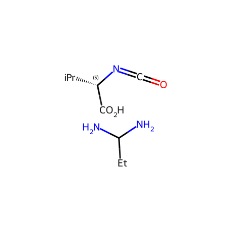 CC(C)[C@H](N=C=O)C(=O)O.CCC(N)N